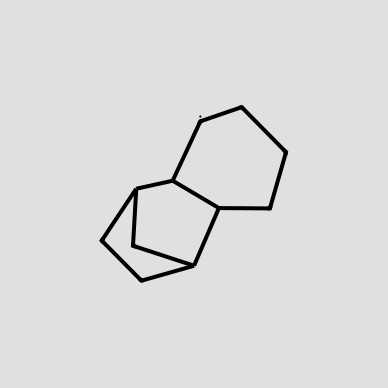 [CH]1CCCC2C3CCC(C3)C12